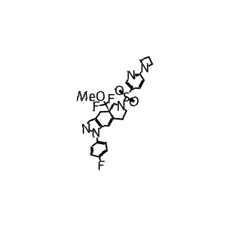 COC(F)(F)[C@]12Cc3cnn(-c4ccc(F)cc4)c3C=C1CCN(S(=O)(=O)c1ccc(N3CCC3)nc1)C2